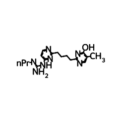 CCCN=C(N)Nc1ccnc(CCCCc2ncc(C)c(O)n2)n1